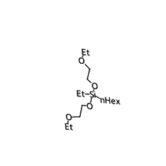 CCCCCC[Si](CC)(OCCOCC)OCCOCC